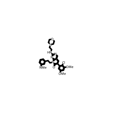 CNc1cccc(CCn2c(=O)c(-c3cc(OC)cc(OC)c3Cl)cc3cnc(NCCN4CCOCC4)nc32)c1